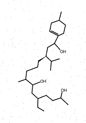 CCC(CCC(C)O)CC(O)C(C)CCC[C@@H](CC(O)C1=CCC(C)CC1)C(C)C